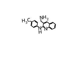 Cc1ccc(Nc2nc3ccccc3cc2CN)cc1